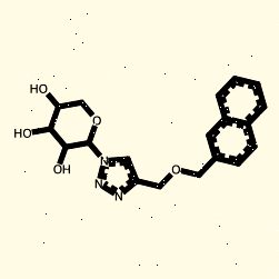 OC1COC(n2cc(COCc3ccc4ccccc4c3)nn2)C(O)C1O